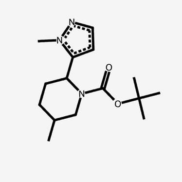 CC1CCC(c2ccnn2C)N(C(=O)OC(C)(C)C)C1